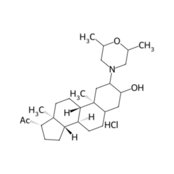 CC(=O)[C@H]1CC[C@H]2[C@@H]3CCC4CC(O)C(N5CC(C)OC(C)C5)C[C@]4(C)[C@H]3CC[C@]12C.Cl